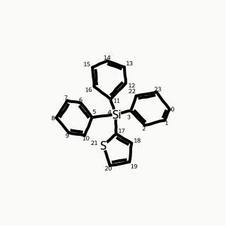 c1ccc([Si](c2ccccc2)(c2ccccc2)c2cccs2)cc1